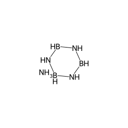 B1NBNBN1.N